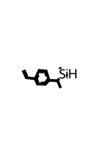 C=Cc1ccc(C(C)[SiH](C)C)cc1